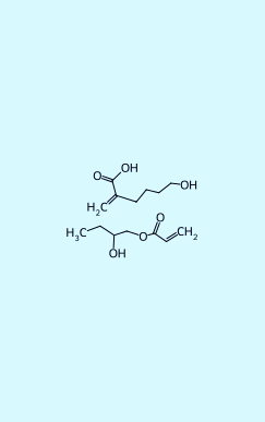 C=C(CCCCO)C(=O)O.C=CC(=O)OCC(O)CC